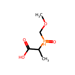 COC[PH](=O)C(C)C(=O)O